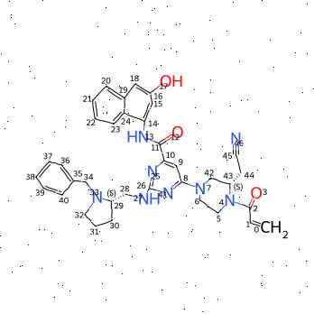 C=CC(=O)N1CCN(c2cc(C(=O)Nc3cc(O)cc4ccccc34)nc(NC[C@@H]3CCCN3Cc3ccccc3)n2)C[C@@H]1CC#N